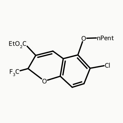 CCCCCOc1c(Cl)ccc2c1C=C(C(=O)OCC)C(C(F)(F)F)O2